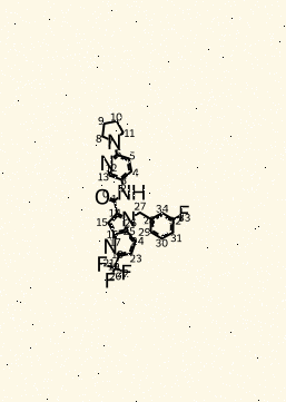 O=C(Nc1ccc(N2CCCC2)nc1)c1cc2nc(C(F)(F)F)ccc2n1Cc1cccc(F)c1